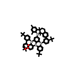 Cc1cc(C)c2c(c1)C1(C)CCc3ccccc3C1(C)N2c1cc2c3c(c1)N(c1ccc(C(C)(C)C)cc1-c1ccccc1)c1cc(C(C)(C)C)ccc1B3c1cc(C(C)(C)C)ccc1N2c1ccc(C(C)(C)C)cc1